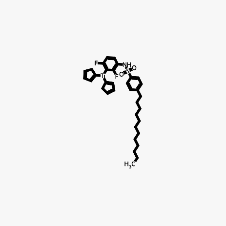 CCCCCCCCCCCCc1ccc(S(=O)(=O)Nc2ccc(F)[c]([Ti]([C]3=CC=CC3)[C]3=CC=CC3)c2F)cc1